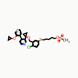 CS(=O)(=O)OCCCCCSc1ccc(Cl)c(COC2(c3cnccc3-c3ccccc3OC3CC3)CC2)c1